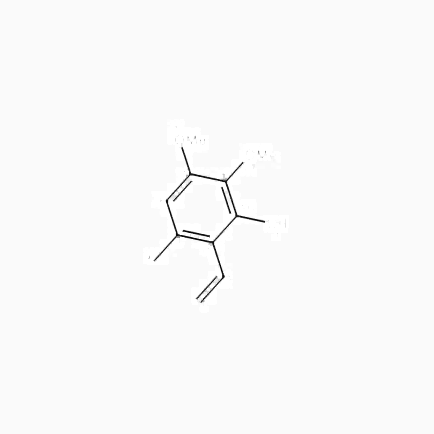 C=Cc1c(C)cc(OC)c(OC)c1O